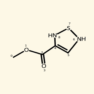 COC(=O)C1=CNSN1